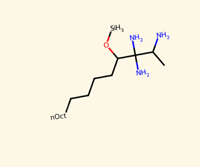 CCCCCCCCCCCCC(O[SiH3])C(N)(N)C(C)N